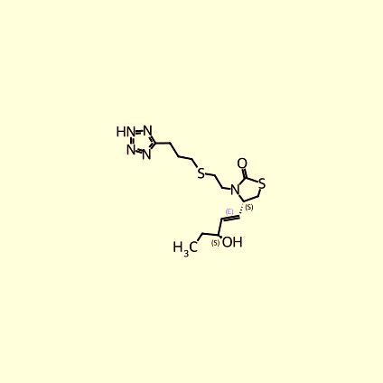 CC[C@H](O)/C=C/[C@H]1CSC(=O)N1CCSCCCc1nn[nH]n1